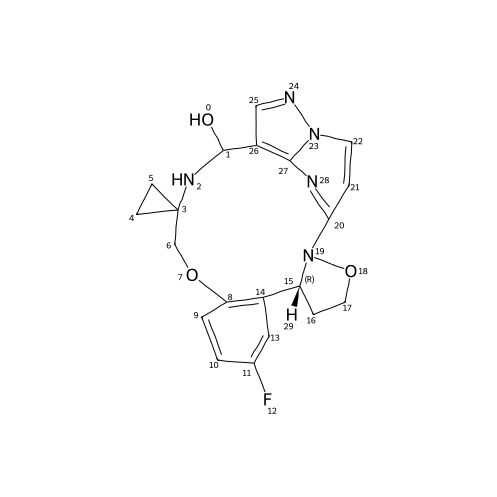 OC1NC2(CC2)COc2ccc(F)cc2[C@H]2CCON2c2ccn3ncc1c3n2